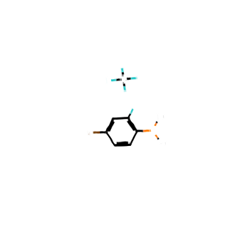 CCP(CC)c1ccc(Br)cc1F.F[B-](F)(F)F